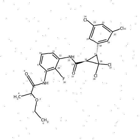 CCOC(C)C(=O)Nc1cccc(NC(=O)[C@H]2[C@H](c3cc(Cl)cc(Cl)c3)C2(Cl)Cl)c1F